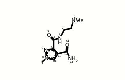 CNCCNC(=O)c1nn(C)cc1C(N)=O